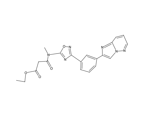 CCOC(=O)CC(=O)N(C)c1nc(-c2cccc(-c3cn4ncccc4n3)c2)no1